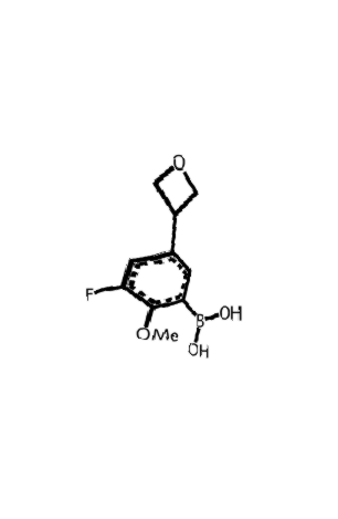 COc1c(F)cc(C2COC2)cc1B(O)O